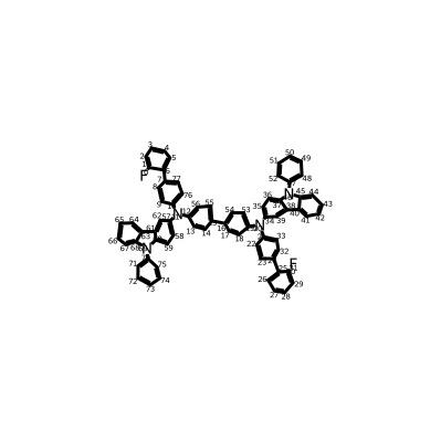 Fc1ccccc1-c1ccc(N(c2ccc(-c3ccc(N(c4ccc(-c5ccccc5F)cc4)c4ccc5c(c4)c4ccccc4n5-c4ccccc4)cc3)cc2)c2ccc3c(c2)c2ccccc2n3-c2ccccc2)cc1